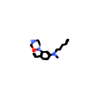 C=CCCCN(C)c1ccc(C=C)c(N2CCNCO2)c1